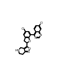 Clc1cc2c(c(-c3ncnc4cc(Cl)ccc34)c1)OC(c1onc3c1CNCC3)C2